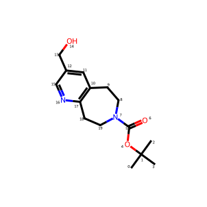 CC(C)(C)OC(=O)N1CCc2cc(CO)cnc2CC1